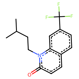 CC(C)CCn1c(=O)ccc2ccc(C(F)(F)F)cc21